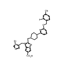 CCn1cncc1Cn1c(CN2CCC(c3cccc(OCc4ccc(C#N)cc4F)n3)CC2)nn2cc(C(=O)O)cc12